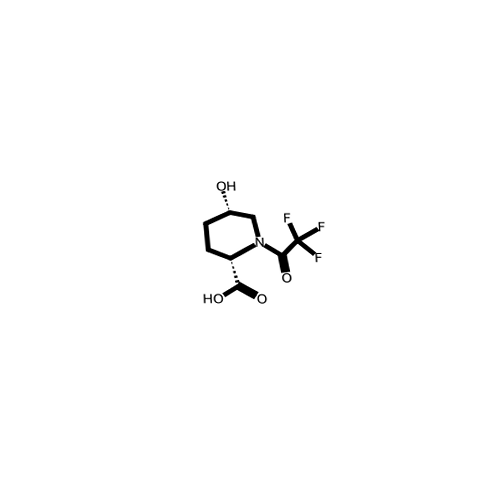 O=C(O)[C@@H]1CC[C@H](O)CN1C(=O)C(F)(F)F